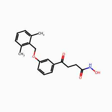 Cc1cccc(C)c1COc1cccc(C(=O)CCC(=O)NO)c1